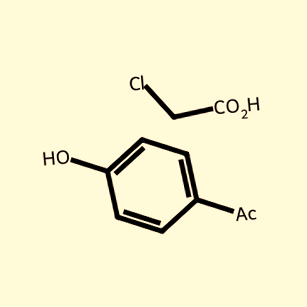 CC(=O)c1ccc(O)cc1.O=C(O)CCl